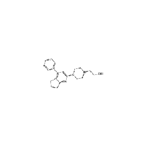 OCCN1CCN(c2cc(-c3ccccc3)c3c(n2)CCC3)CC1